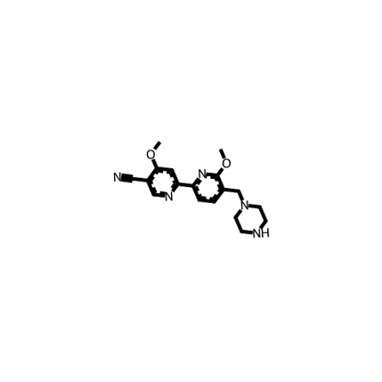 COc1cc(-c2ccc(CN3CCNCC3)c(OC)n2)ncc1C#N